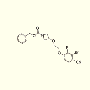 N#Cc1ccc(OCCOC2CN(C(=O)OCc3ccccc3)C2)c(F)c1Br